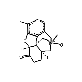 Cc1ccc2c3c1O[C@@H]1C(=O)CC[C@@H]4C(C2)[N+](C)([O-])CC[C@@]314